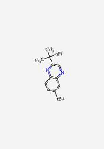 CCCC(C)(C)c1cnc2cc(C(C)(C)C)ccc2n1